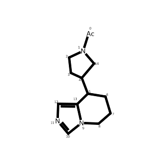 CC(=O)N1CCC(C2CCCn3cncc32)C1